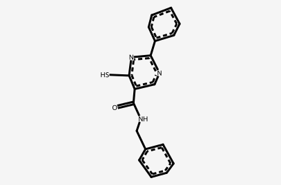 O=C(NCc1ccccc1)c1cnc(-c2ccccc2)nc1S